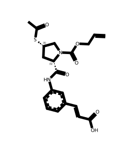 C=CCOC(=O)N1C[C@@H](SC(C)=O)C[C@H]1C(=O)Nc1cccc(C=CC(=O)O)c1